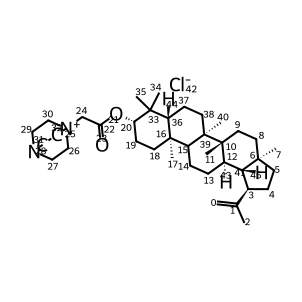 C=C(C)[C@@H]1CC[C@]2(C)CC[C@]3(C)[C@H](CCC4[C@@]5(C)CC[C@H](OC(=O)C[N+]67CCN(CC6)CC7)C(C)(C)[C@@H]5CC[C@]43C)[C@@H]12.[Cl-]